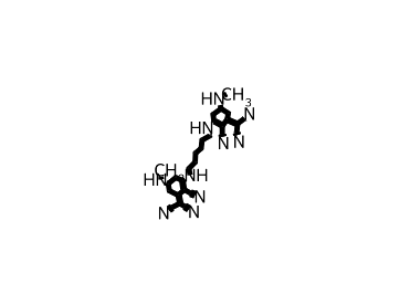 CNC1CC(NCCCCCCNC2=C(C#N)C(=C(C#N)C#N)CC(NC)C2)=C(C#N)C(=C(C#N)C#N)C1